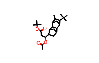 CC(=O)OC(CC(=O)OC(C)(C)C)C1CC2CC1C1C3CC(C21)C(C(C)(C)C)C3C